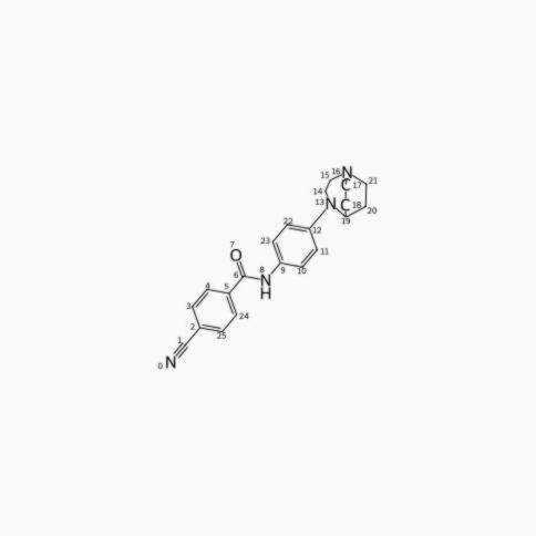 N#Cc1ccc(C(=O)Nc2ccc(N3CCN4CCC3CC4)cc2)cc1